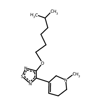 CC(C)CCCCOc1nsnc1C1=CCCN(C)C1